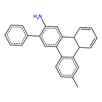 Cc1ccc2c(c1)C1C=CC=CC1c1cc(N)c(-c3ccccc3)cc1-2